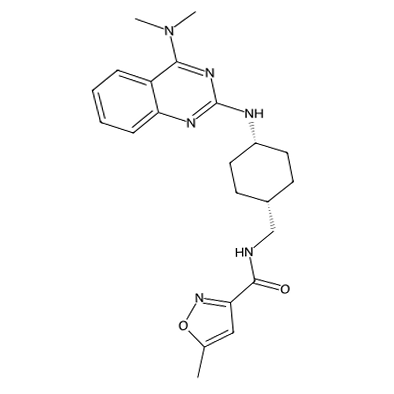 Cc1cc(C(=O)NC[C@H]2CC[C@@H](Nc3nc(N(C)C)c4ccccc4n3)CC2)no1